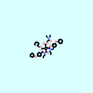 CCCN(Cc1ccc(Oc2ccccc2)cc1)C(=O)C1C(C(=O)OCC(=O)N(CC)CC)C(C(=O)OCc2ccccc2)C1C(=O)N(CCC)Cc1ccc(Oc2ccccc2)cc1